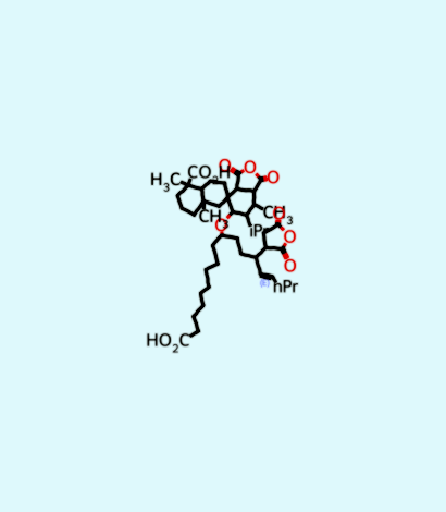 CCC/C=C/C(CCC(CCCCCCCCC(=O)O)OC1C(C(C)C)C(C)C2C(=O)OC(=O)C2C12CCC1C(C)(CCCC1(C)C(=O)O)C2)C1CC(=O)OC1=O